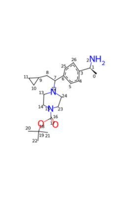 C[C@H](N)c1ccc(C(CC2CC2)N2CCN(C(=O)OC(C)(C)C)CC2)cc1